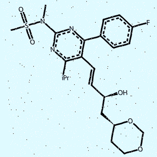 CC(C)c1nc(N(C)S(C)(=O)=O)nc(-c2ccc(F)cc2)c1/C=C/[C@@H](O)C[C@@H]1CCOCO1